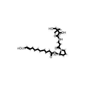 CCCCCCCCC=CCCCCCCCC(=O)NC[C@@H]1CCCN1C(=O)CCNC(=O)C(O)C(C)(C)CO